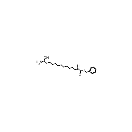 NC(O)CCCCCCCCCCCNC(=O)OCc1ccccc1